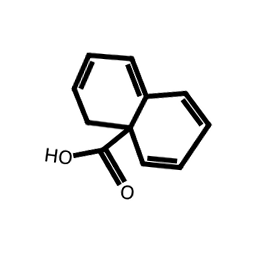 O=C(O)C12C=CC=CC1=CC=CC2